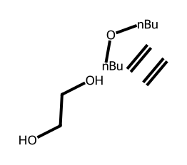 C=C.C=C.CCCCOCCCC.OCCO